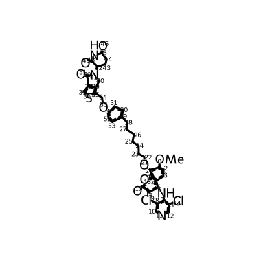 COc1ccc2c(Nc3c(Cl)cncc3Cl)cc(=O)oc2c1OCCCCCCCc1ccc(OCc2scc3c2CN(C2CCC(=O)NC2=O)C3=O)cc1